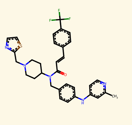 Cc1cc(Nc2ccc(CN(C(=O)C=Cc3ccc(C(F)(F)F)cc3)C3CCN(Cc4nccs4)CC3)cc2)ccn1